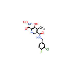 Cc1c(C(=O)NCc2ccc(F)c(Cl)c2)cnc(C(=O)NO)c1O